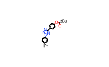 CC(C)c1ccc(-n2nnc(-c3ccc(OC(=O)C(C)(C)C)cc3)n2)cc1